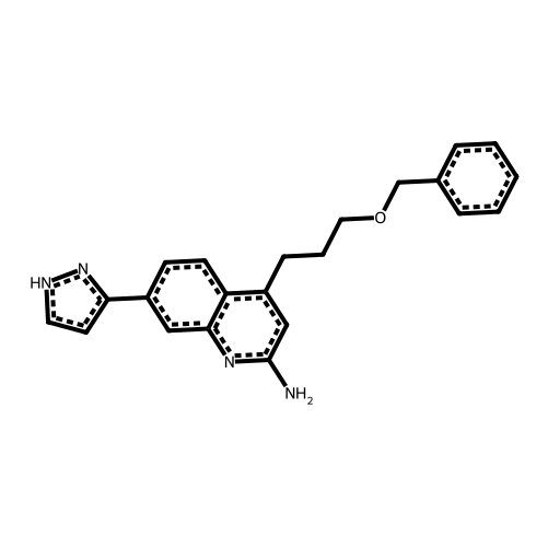 Nc1cc(CCCOCc2ccccc2)c2ccc(-c3cc[nH]n3)cc2n1